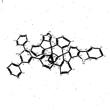 c1ccc(-c2cc(-c3ccc(-c4cccc5c4C4(c6ccccc6C6(c7ccccc7-c7ccccc76)c6ccccc64)c4ccc6c(oc7ccccc76)c4-5)cc3)cc(-c3ccccc3)n2)cc1